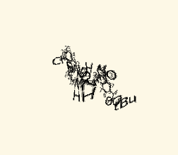 CC(C)(C)OC(=O)Cc1ccc2c(NC(=O)N[C@@H](CC3CC3)C(=O)NCc3cccc(Cl)c3F)cn(C(N)=O)c2c1